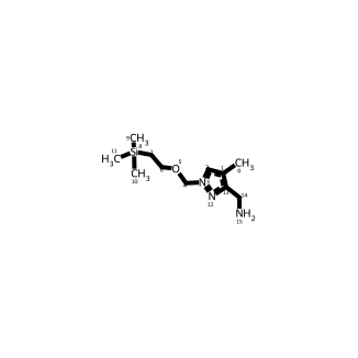 Cc1cn(COCC[Si](C)(C)C)nc1CN